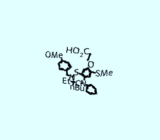 CCCCC1(CC)CN(c2ccccc2)c2cc(SC)c(OCCC(=O)O)cc2SN1Cc1ccc(OC)cc1